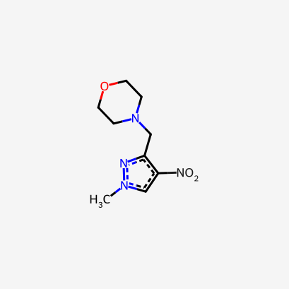 Cn1cc([N+](=O)[O-])c(CN2CCOCC2)n1